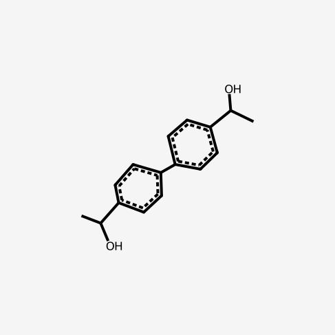 CC(O)c1ccc(-c2ccc(C(C)O)cc2)cc1